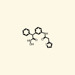 O=C(Cc1cccs1)Nc1cccc(C(C(=O)NO)c2ccccc2)c1